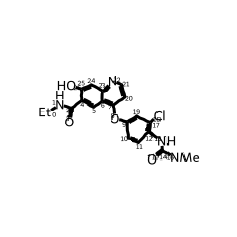 CCNC(=O)c1cc2c(Oc3ccc(NC(=O)NC)c(Cl)c3)ccnc2cc1O